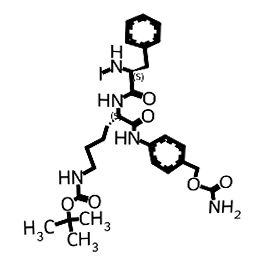 CC(C)(C)OC(=O)NCCCC[C@H](NC(=O)[C@H](Cc1ccccc1)NI)C(=O)Nc1ccc(COC(N)=O)cc1